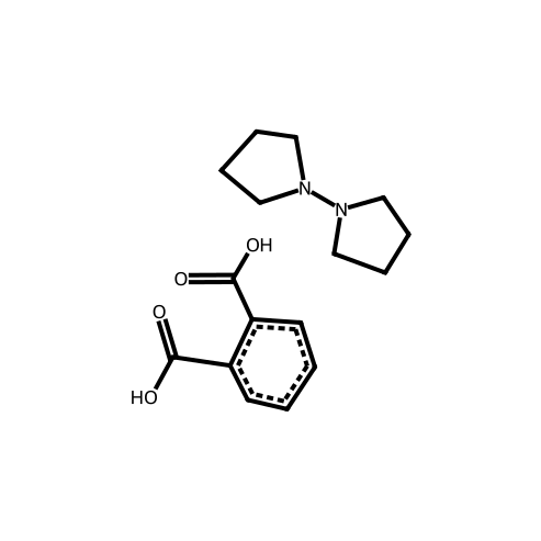 C1CCN(N2CCCC2)C1.O=C(O)c1ccccc1C(=O)O